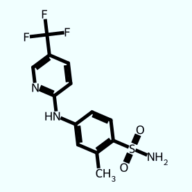 Cc1cc(Nc2ccc(C(F)(F)F)cn2)ccc1S(N)(=O)=O